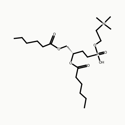 CCCCCC(=O)OC[C@H](CCP(=O)(O)OCC[N+](C)(C)C)OC(=O)CCCCC